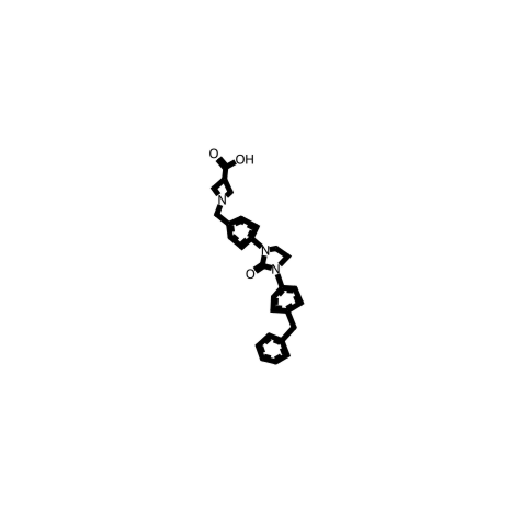 O=C(O)C1CN(Cc2ccc(N3CCN(c4ccc(Cc5ccccc5)cc4)C3=O)cc2)C1